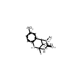 CCOC(=O)C1C2c3cc([N+](=O)[O-])ccc3SC1(C)NC(=O)N2C(C)=O